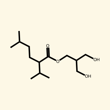 CC(C)CCC(C(=O)OCC(CO)CO)C(C)C